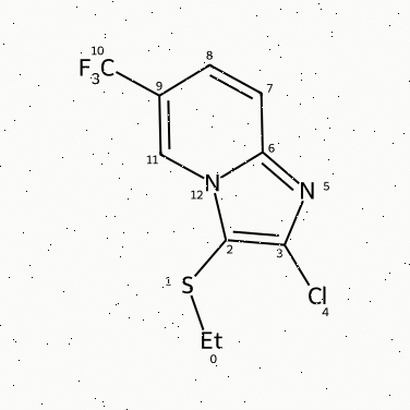 CCSc1c(Cl)nc2ccc(C(F)(F)F)cn12